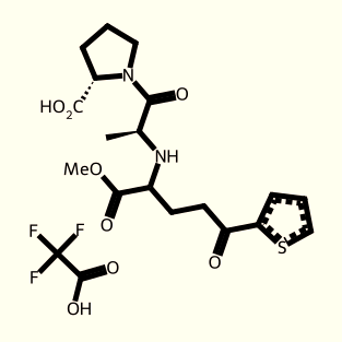 COC(=O)C(CCC(=O)c1cccs1)N[C@@H](C)C(=O)N1CCC[C@H]1C(=O)O.O=C(O)C(F)(F)F